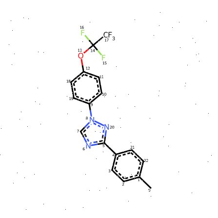 Cc1ccc(-c2ncn(-c3ccc(OC(F)(F)C(F)(F)F)cc3)n2)cc1